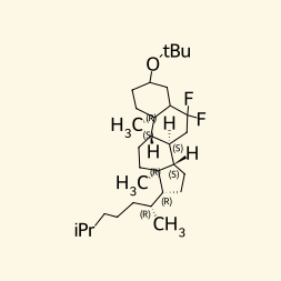 CC(C)CCC[C@@H](C)[C@H]1CC[C@H]2[C@@H]3CC(F)(F)C4CC(OC(C)(C)C)CC[C@]4(C)[C@H]3CC[C@]12C